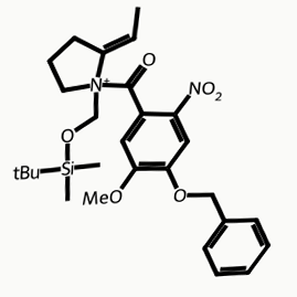 C/C=C1\CCC[N+]1(CO[Si](C)(C)C(C)(C)C)C(=O)c1cc(OC)c(OCc2ccccc2)cc1[N+](=O)[O-]